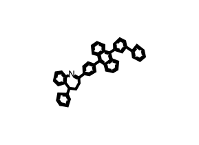 c1ccc(-c2cccc(-c3c4ccccc4c(-c4ccc(C5=Nc6ccccc6C(c6ccccc6)CC5)cc4)c4ccccc34)c2)cc1